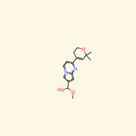 COC(O)c1cc2nc(C3=CC(C)(C)OCC3)ccn2c1